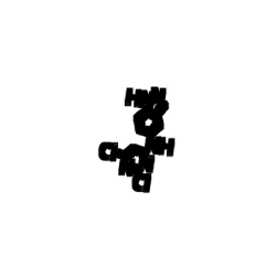 Clc1cc(Nc2ccc3[nH]ncc3c2)nc(Cl)n1